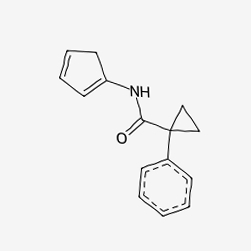 O=C(NC1=CC=CC1)C1(c2ccccc2)CC1